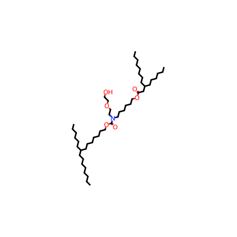 CCCCCCCCC(CCCCCC)CCCCCCCOC(=O)N(CCCCCCOC(=O)CC(CCCCCC)CCCCCCCC)CCOCCO